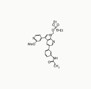 C=CC(=O)Nc1cccc(-c2cnc3c(c2)c(-c2ccnc(OC)c2)cn3COP(=O)(OCC)OCC)c1